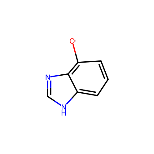 [O]c1cccc2[nH]cnc12